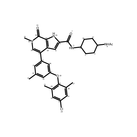 CC(=O)NC1CCC(NC(=O)c2cc3c(-c4cc(C)cc(Oc5c(C)cc(Cl)cc5C)c4)cn(C)c(=O)c3[nH]2)CC1